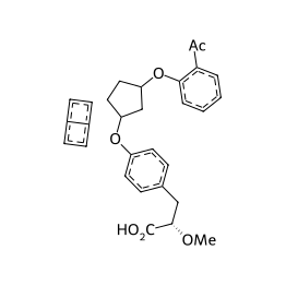 CO[C@@H](Cc1ccc(OC2CCC(Oc3ccccc3C(C)=O)C2)cc1)C(=O)O.c1cc2ccc1-2